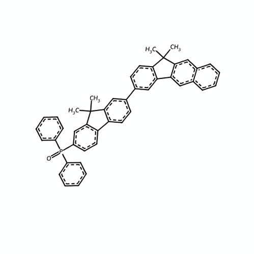 CC1(C)c2cc(-c3ccc4c(c3)-c3cc5ccccc5cc3C4(C)C)ccc2-c2ccc(P(=O)(c3ccccc3)c3ccccc3)cc21